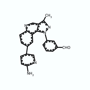 Cc1nn(-c2cccc(C=O)c2)c2c1cnc1ccc(-c3ccc(N)nc3)cc12